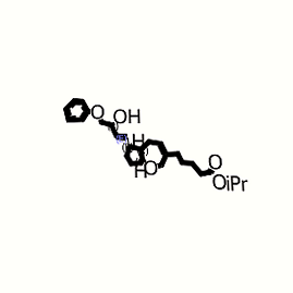 CC(C)OC(=O)CCCCC1=CC[C@H]2[C@H](CC[C@@H]2/C=C/[C@@H](O)COc2ccccc2)OC1